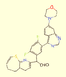 O=CC(C1=CCC2CCC=CSC2=N1)c1cc(-c2ncnc3cc(N4CCOCC4)ccc23)c(F)cc1F